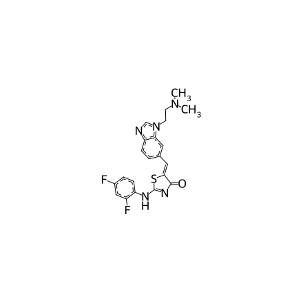 CN(C)CCn1cnc2ccc(/C=C3\SC(Nc4ccc(F)cc4F)=NC3=O)cc21